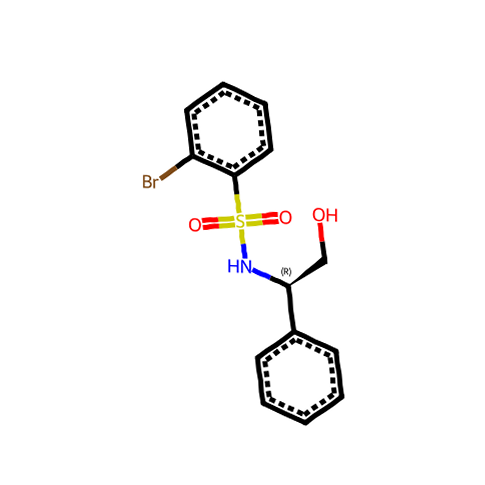 O=S(=O)(N[C@@H](CO)c1ccccc1)c1ccccc1Br